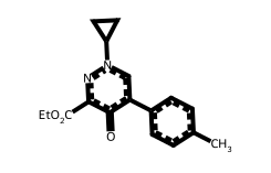 CCOC(=O)c1nn(C2CC2)cc(-c2ccc(C)cc2)c1=O